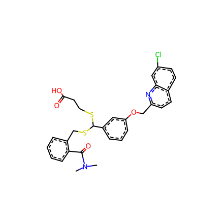 CN(C)C(=O)c1ccccc1CSC(SCCC(=O)O)c1cccc(OCc2ccc3ccc(Cl)cc3n2)c1